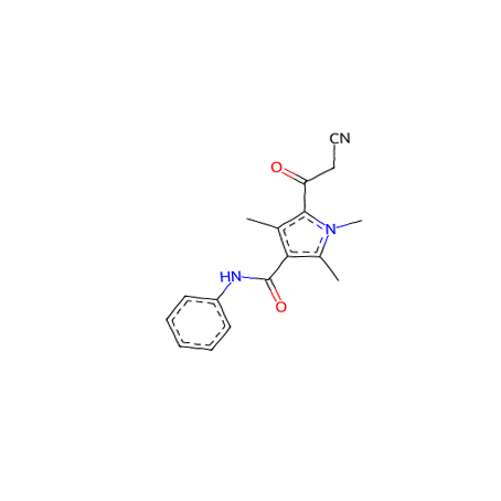 Cc1c(C(=O)Nc2ccccc2)c(C)n(C)c1C(=O)CC#N